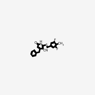 Cc1c(F)cc(CSc2[nH]c(=O)cc(Cc3ccccc3)c2C#N)cc1F